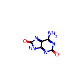 NC1=NC(=O)N=C2NC(=O)N=C12